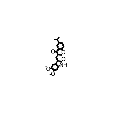 COc1cc2c(cc1OC)/C(=C/c1coc3ccc(C(C)C)cc3c1=O)C(=O)N2